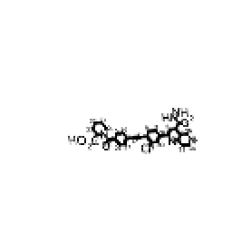 NNC(=O)c1cc(-c2ccc(C#Cc3ccc(C(=O)N4CCCCC4C(=O)O)cc3)c(Cl)c2)nc2ccncc12